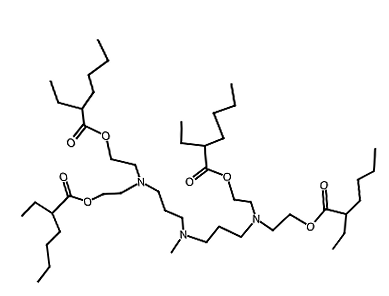 CCCCC(CC)C(=O)OCCN(CCCN(C)CCCN(CCOC(=O)C(CC)CCCC)CCOC(=O)C(CC)CCCC)CCOC(=O)C(CC)CCCC